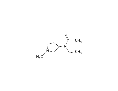 CCN(C(C)=O)C1CCN(C)C1